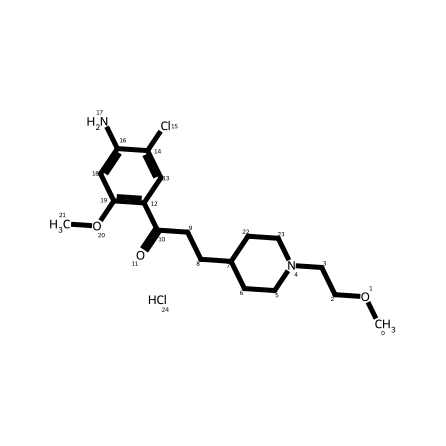 COCCN1CCC(CCC(=O)c2cc(Cl)c(N)cc2OC)CC1.Cl